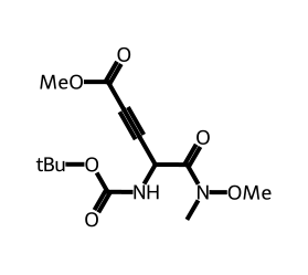 COC(=O)C#CC(NC(=O)OC(C)(C)C)C(=O)N(C)OC